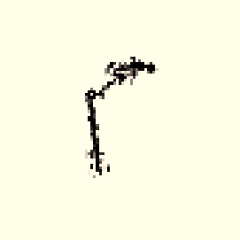 CC(=O)N[C@H]1[C@H]([C@H](O)[C@H](O)CNC(=O)c2ccc(-c3ccccc3)cc2)O[C@@](OCCCSCCNC(=O)c2ccc(C)c(OCCOCCOCCOCCOCCOCCNC(=O)CCC(=O)NN)c2)(C(=O)O)C[C@@H]1O